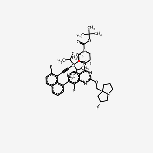 CC(C)[Si](C#Cc1c(F)ccc2cccc(-c3ncc4c(N5CCN(C(=O)OC(C)(C)C)CC5)nc(OC[C@@]56CCCN5C[C@H](F)C6)nc4c3F)c12)(C(C)C)C(C)C